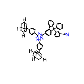 N#Cc1cccc(C2(c3ccccc3)c3ccccc3-c3cc(-c4nc(-c5ccc(C67C[C@H]8C[C@@H](C6)C[C@@H](C7)C8)cc5)nc(-c5ccc(C67C[C@H]8C[C@H](C6)C[C@@H](C7)C8)cc5)n4)ccc32)c1